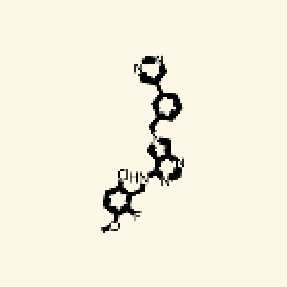 COc1ccc(Cl)c(CNc2ncnc3cn(Cc4cccc(-c5cncnc5)c4)cc23)c1F